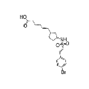 O=C(O)CCC/C=C/C1CCC(NS(=O)(=O)/C=C/c2ccc(Br)cc2)C1